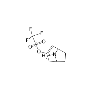 O=S(=O)(OC1=CC2CCC(C1)N2P)C(F)(F)F